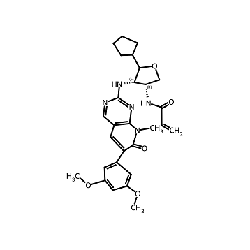 C=CC(=O)N[C@H]1COC(C2CCCC2)[C@H]1Nc1ncc2cc(-c3cc(OC)cc(OC)c3)c(=O)n(C)c2n1